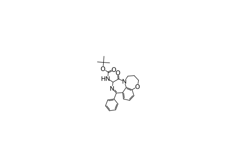 CC(C)(C)OC(=O)NC1N=C(c2ccccc2)c2cccc3c2N(CCCO3)C1=O